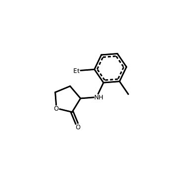 CCc1cccc(C)c1NC1CCOC1=O